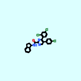 O=C(NC1CCc2ccccc21)c1ncc(-c2ccc(Cl)cc2)c(-c2ccc(Cl)cc2Cl)n1